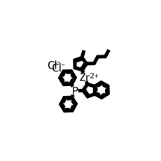 CCCCC1=[C]([Zr+2][CH]2C(P(c3ccccc3)c3ccccc3)=Cc3ccccc32)CC=C1C.[Cl-].[Cl-]